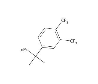 CCCC(C)(C)c1ccc(C(F)(F)F)c(C(F)(F)F)c1